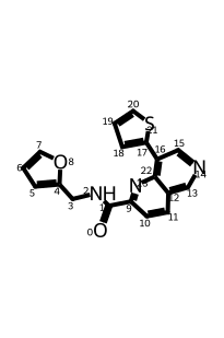 O=C(NCc1ccco1)c1ccc2cncc(-c3cccs3)c2n1